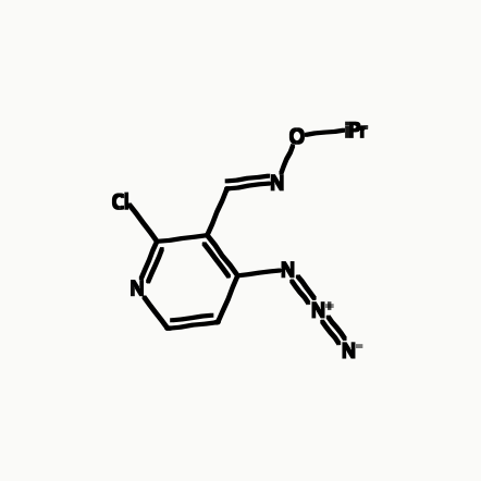 CC(C)ON=Cc1c(N=[N+]=[N-])ccnc1Cl